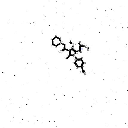 C=Nc1c(C(=O)CN2CCCCC2)c(C)n(-c2ccc(C#N)cc2)c1/C=C(\C)OC